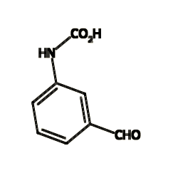 O=Cc1cccc(NC(=O)O)c1